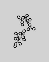 c1ccc(-n2c3ccc(-c4ccc5c6cc7c8ccccc8n(-c8nnc(-n9c%10ccccc%10c%10c%11ccccc%11ccc%109)c9ccccc89)c7c7c8cc9ccccc9cc8n(c5c4)c67)cc3c3cc(-c4nnc(-n5c6ccccc6c6cc7c8ccccc8n8c9cc%10ccccc%10cc9c(c65)c78)c5ccccc45)ccc32)cc1